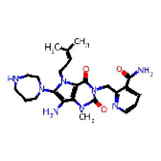 CC(C)=CCn1c(N2CCCNCC2)c(N)c2c1c(=O)n(Cc1ncccc1C(N)=O)c(=O)n2C